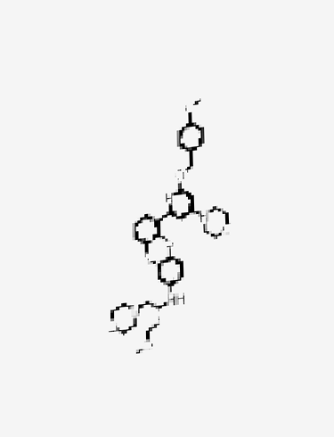 COCC[C@H](CN1CCOCC1)Nc1ccc2c(c1)Sc1cccc(-c3cc(N4CCOCC4)cc(OCc4ccc(OC)cc4)n3)c1S2